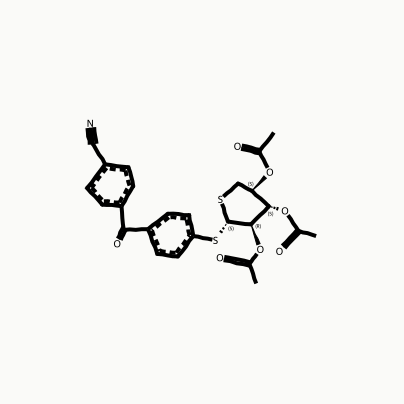 CC(=O)O[C@@H]1[C@@H](OC(C)=O)[C@H](Sc2ccc(C(=O)c3ccc(C#N)cc3)cc2)SC[C@H]1OC(C)=O